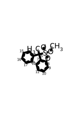 COS(=O)(=O)C(C)(c1ccccc1)c1ccccc1